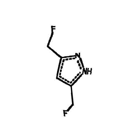 FCc1cc(CF)[nH]n1